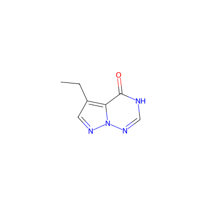 CCc1cnn2nc[nH]c(=O)c12